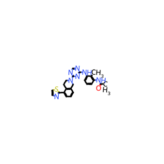 CC(=O)Nc1cccc(Nc2ncnc(N3CCc4c(cccc4-c4nccs4)C3)n2)c1C